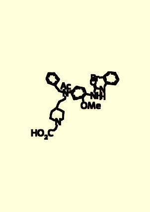 COc1cc([N+](CCC2CCN(CC(=O)O)CC2)(Cc2ccccc2)C(C)=O)ccc1NC(=O)Nc1ccccc1Br